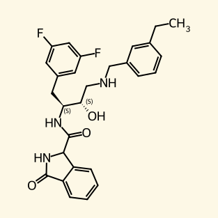 CCc1cccc(CNC[C@H](O)[C@H](Cc2cc(F)cc(F)c2)NC(=O)C2NC(=O)c3ccccc32)c1